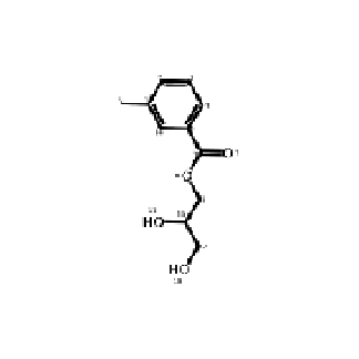 Cc1cccc(C(=O)OCC(O)CO)c1